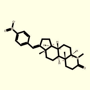 CN1C(=O)CC[C@]2(C)[C@H]3CC[C@]4(C)C(=Cc5ccc([N+](=O)[O-])cc5)CC[C@H]4[C@@H]3CC[C@@H]12